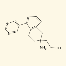 NC1(CCO)CCc2c(cccc2-c2cncnc2)C1